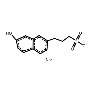 O=S(=O)([O-])CCCc1ccc2ccc(O)cc2c1.[Na+]